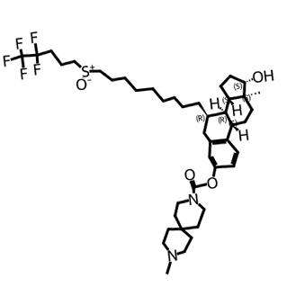 CN1CCC2(CC1)CCN(C(=O)Oc1ccc3c(c1)C[C@@H](CCCCCCCCC[S+]([O-])CCCC(F)(F)C(F)(F)F)[C@@H]1[C@@H]3CC[C@]3(C)[C@@H](O)CC[C@@H]13)CC2